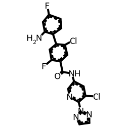 Nc1cc(F)ccc1-c1cc(F)c(C(=O)Nc2cnc(-n3nccn3)c(Cl)c2)cc1Cl